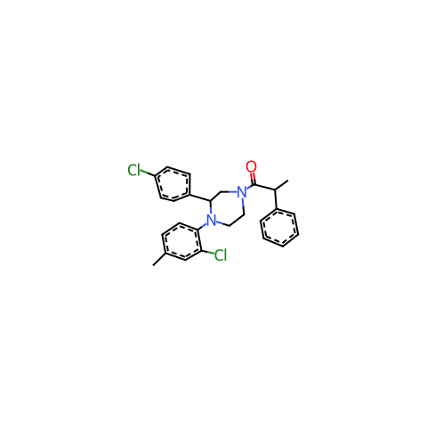 Cc1ccc(N2CCN(C(=O)C(C)c3ccccc3)CC2c2ccc(Cl)cc2)c(Cl)c1